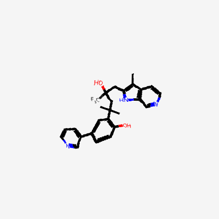 Cc1c(CC(O)(CC(C)(C)c2cc(-c3cccnc3)ccc2O)C(F)(F)F)[nH]c2cnccc12